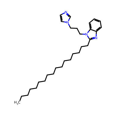 CCCCCCCCCCCCCCCCCc1nc2ccccc2n1CCCn1ccnc1